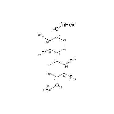 CCCCCCOC1CCC(C2CCC(OCCCC)C(F)C2F)C(F)C1F